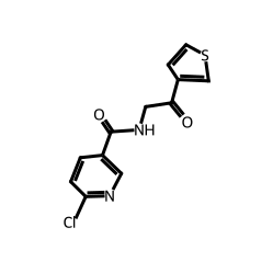 O=C(CNC(=O)c1ccc(Cl)nc1)c1ccsc1